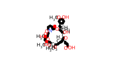 CO[C@H]1C/C(C)=C/[C@@H](C/C=C/C(=O)O)C(=O)C[C@H](O)[C@@H](C)[C@@H](/C(C)=C/[C@@H]2CC[C@@H](O)[C@H](OC)C2)OC(=O)[C@@H]2CCCCN2C(=O)C(=O)[C@]2(O)O[C@H]([C@@H](OC)C1)[C@@H](OC)C[C@H]2C